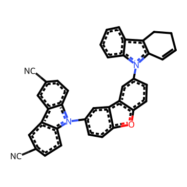 N#Cc1ccc2c(c1)c1cc(C#N)ccc1n2-c1ccc2oc3ccc(-n4c5c(c6ccccc64)CCC=C5)cc3c2c1